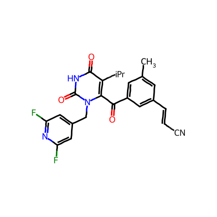 Cc1cc(/C=C/C#N)cc(C(=O)c2c(C(C)C)c(=O)[nH]c(=O)n2Cc2cc(F)nc(F)c2)c1